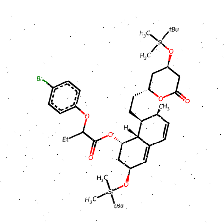 CCC(Oc1ccc(Br)cc1)C(=O)O[C@H]1C[C@H](O[Si](C)(C)C(C)(C)C)C=C2C=C[C@H](C)[C@H](CC[C@@H]3C[C@@H](O[Si](C)(C)C(C)(C)C)CC(=O)O3)[C@H]21